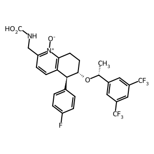 C[C@@H](O[C@H]1CCc2c(ccc(CNC(=O)O)[n+]2[O-])[C@@H]1c1ccc(F)cc1)c1cc(C(F)(F)F)cc(C(F)(F)F)c1